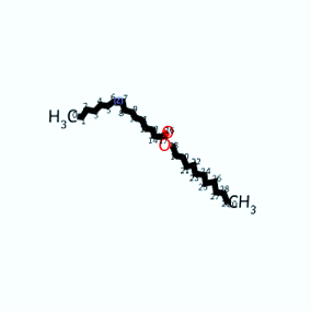 CCCCCC/C=C\CCCCCCCC(=O)OCCCCCCCCCCCCC